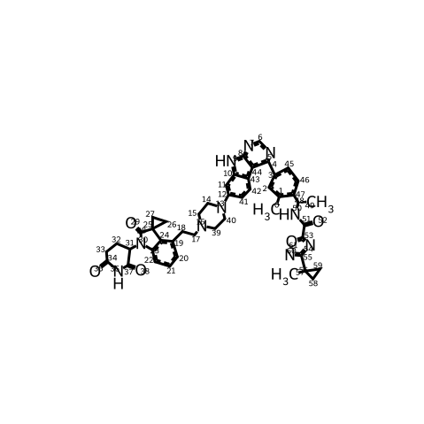 Cc1cc(-c2ncnc3[nH]c4cc(N5CCN(CCc6cccc7c6C6(CC6)C(=O)N7C6CCC(=O)NC6=O)CC5)ccc4c23)ccc1[C@@H](C)NC(=O)c1nc(C2(C)CC2)no1